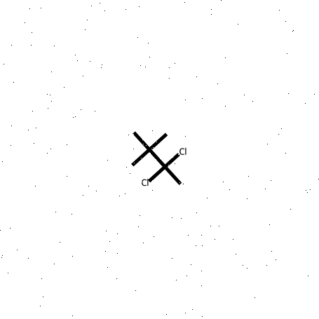 [CH2]C(Cl)(Cl)C(C)(C)C